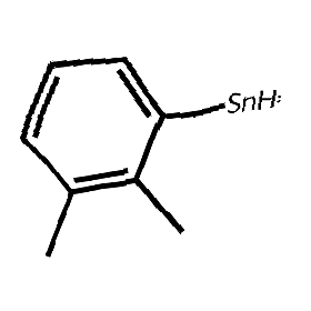 Cc1ccc[c]([SnH])c1C